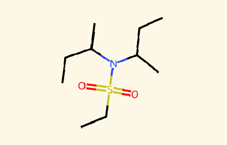 CCC(C)N(C(C)CC)S(=O)(=O)CC